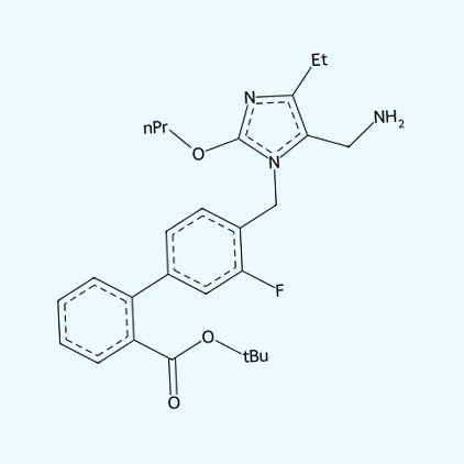 CCCOc1nc(CC)c(CN)n1Cc1ccc(-c2ccccc2C(=O)OC(C)(C)C)cc1F